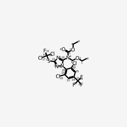 CCOCN(C(=O)OCC)c1nc(SC(F)(Cl)Cl)nn1-c1c(Cl)cc(C(F)(F)F)cc1Cl